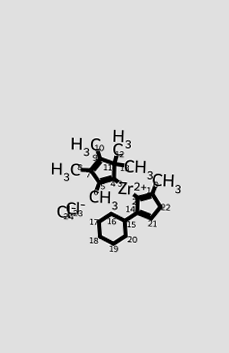 CC1=[C]([Zr+2][C]2=C(C)C(C)=C(C)C2(C)C)C(C2CCCCC2)=CC1.[Cl-].[Cl-]